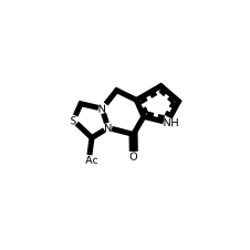 CC(=O)C1SCN2Cc3cc[nH]c3C(=O)N12